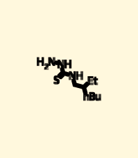 CCCCC(CC)CNC(=S)NN